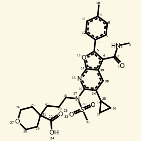 CNC(=O)c1c(-c2ccc(C)cc2)oc2nc(N(CCCC3(C(=O)O)CCOCC3)S(C)(=O)=O)c(C3CC3)cc12